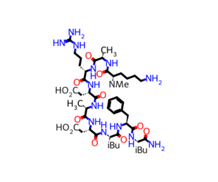 CC[C@H](C)[C@H](NC(=O)[C@H](Cc1ccccc1)NC(=O)[C@@H](NC(=O)[C@H](CC(=O)O)NC(=O)[C@H](C)NC(=O)[C@H](CC(=O)O)NC(=O)[C@H](CCCNC(=N)N)NC(=O)[C@H](C)NC(=O)[C@H](CCCCN)NC)[C@@H](C)CC)C(N)=O